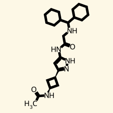 CC(=O)N[C@H]1C[C@@H](c2cc(NC(=O)CNC(C3CCCCC3)C3CCCCC3)[nH]n2)C1